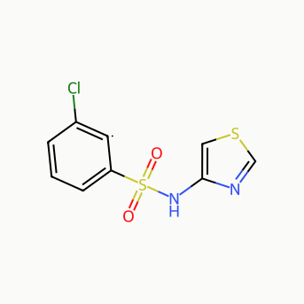 O=S(=O)(Nc1cscn1)c1[c]c(Cl)ccc1